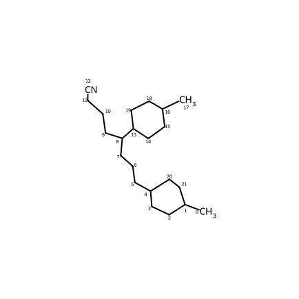 CC1CCC(CCCC(CCCC#N)C2CCC(C)CC2)CC1